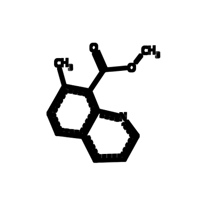 COC(=O)c1c(C)ccc2cccnc12